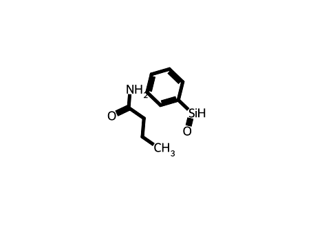 CCCC(N)=O.O=[SiH]c1ccccc1